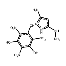 NNc1cc(N)n[nH]1.O=[N+]([O-])c1c(O)c([N+](=O)[O-])c(O)c([N+](=O)[O-])c1O